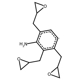 Nc1c(CC2CO2)c[c]c(CC2CO2)c1CC1CO1